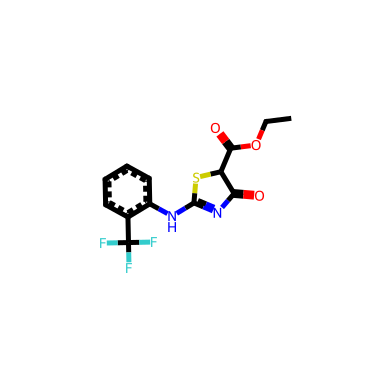 CCOC(=O)C1SC(Nc2ccccc2C(F)(F)F)=NC1=O